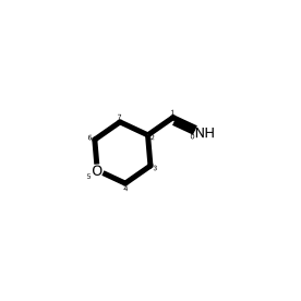 N=CC1CCOCC1